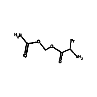 CC(C)C(N)C(=O)OCOC(N)=O